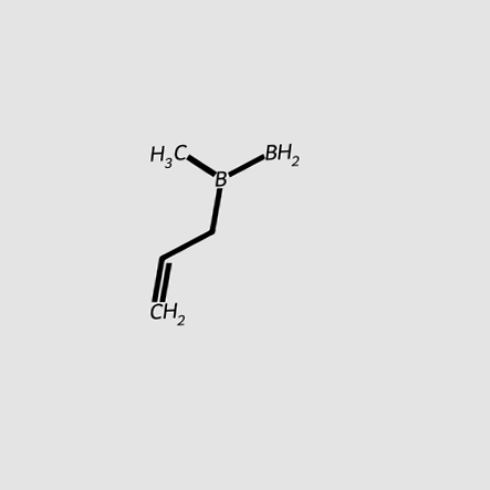 BB(C)CC=C